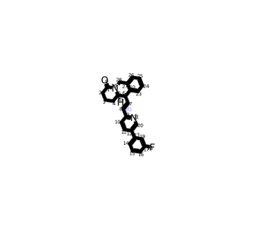 O=C1CCC[C@@H]2C(/C=C/c3ccc(-c4cccc(F)c4)cn3)c3ccccc3CN12